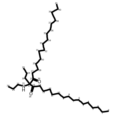 CCCCCCCCCCCCCCCC(=O)C(CCC)(NCCC)C(=O)CCCCCCCCCCCCCCC